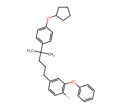 CC(C)(CCCc1ccc(F)c(Oc2ccccc2)c1)c1ccc(OC2CCCC2)cc1